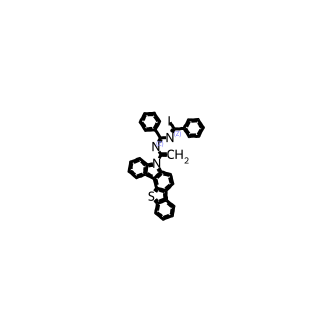 C=C(/N=C(\N=C(/I)c1ccccc1)c1ccccc1)n1c2ccccc2c2c3sc4ccccc4c3ccc21